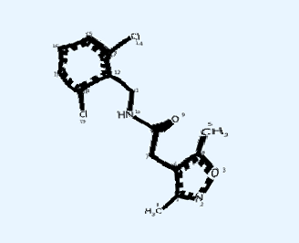 Cc1noc(C)c1CC(=O)NCc1c(Cl)cccc1Cl